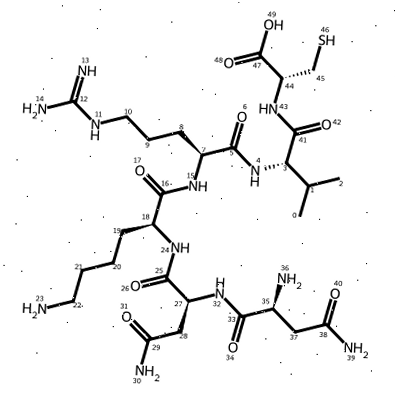 CC(C)[C@H](NC(=O)[C@H](CCCNC(=N)N)NC(=O)[C@H](CCCCN)NC(=O)[C@H](CC(N)=O)NC(=O)[C@@H](N)CC(N)=O)C(=O)N[C@@H](CS)C(=O)O